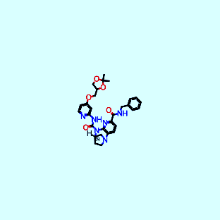 CC1(C)OCC(COc2ccnc(NC(=O)N3c4nc(C(=O)NCc5ccccc5)ccc4N4CC[C@H]3C4)c2)O1